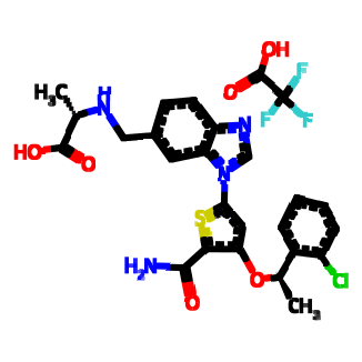 C[C@H](NCc1ccc2ncn(-c3cc(O[C@H](C)c4ccccc4Cl)c(C(N)=O)s3)c2c1)C(=O)O.O=C(O)C(F)(F)F